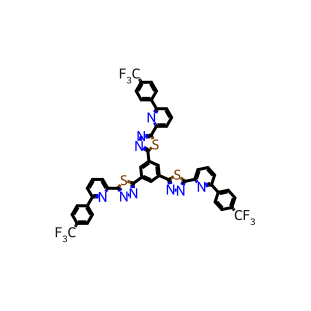 FC(F)(F)c1ccc(-c2cccc(-c3nnc(-c4cc(-c5nnc(-c6cccc(-c7ccc(C(F)(F)F)cc7)n6)s5)cc(-c5nnc(-c6cccc(-c7ccc(C(F)(F)F)cc7)n6)s5)c4)s3)n2)cc1